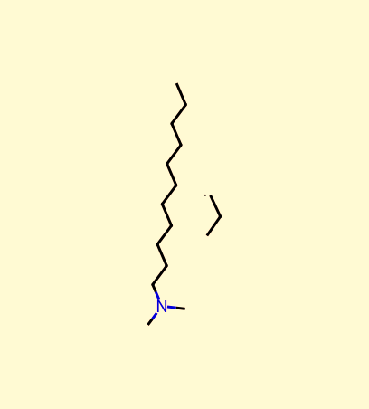 CCCCCCCCCCCN(C)C.[CH2]CC